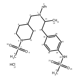 CCCN(CC1CCN(S(C)(=O)=O)CC1)C(C)Cc1ccc(NS(C)(=O)=O)cc1.Cl